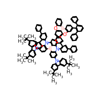 CC(C)(C)c1ccc2c(c1)c1cc(C(C)(C)C)ccc1n2-c1ccc2c(c1)N(c1ccc(-c3ccccc3)cc1-c1ccccc1)c1cc(-c3cc4c5c(c3)Oc3cc(-c6c(-c7ccccc7)cccc6-c6ccccc6)ccc3B5c3ccccc3O4)cc3c1B2c1ccc(-n2c4ccc(C(C)(C)C)cc4c4cc(C(C)(C)C)ccc42)cc1N3c1ccc(-c2ccccc2)cc1-c1ccccc1